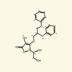 O=C1O[C@H]([C@@H](O)CO)C(OCC(COc2ccccc2)Oc2ccccc2)=C1O